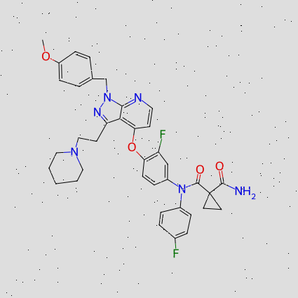 COc1ccc(Cn2nc(CCN3CCCCC3)c3c(Oc4ccc(N(C(=O)C5(C(N)=O)CC5)c5ccc(F)cc5)cc4F)ccnc32)cc1